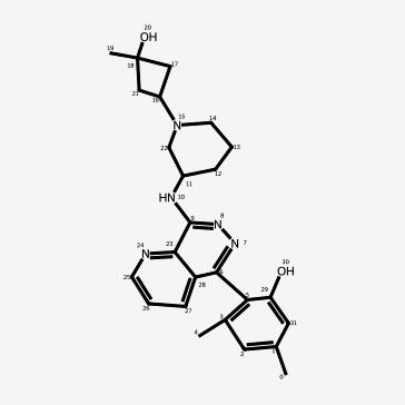 Cc1cc(C)c(-c2nnc(NC3CCCN(C4CC(C)(O)C4)C3)c3ncccc23)c(O)c1